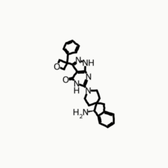 N[C@@H]1c2ccccc2CC12CCN(c1nc3[nH]nc(C4(c5ccccc5)COC4)c3c(=O)[nH]1)CC2